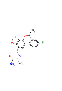 CC(NCc1ccc(OC(C)c2cccc(F)c2)c2c1OCO2)C(N)=O